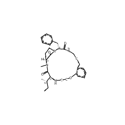 CC[C@H](C)[C@@H]1NCCOc2ccccc2CCCNC(=O)[C@@H](Cc2ccccc2)N2CC[C@@H](C2=O)N(C)C1=O